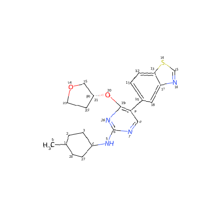 CC1CCC(Nc2ncc(-c3ccc4scnc4c3)c(O[C@@H]3CCOC3)n2)CC1